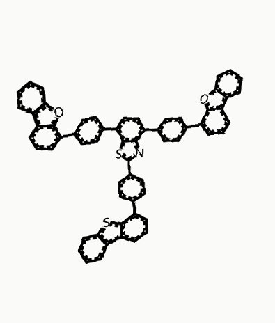 c1ccc2c(c1)oc1c(-c3ccc(-c4ccc(-c5ccc(-c6cccc7c6oc6ccccc67)cc5)c5sc(-c6ccc(-c7cccc8c7sc7ccccc78)cc6)nc45)cc3)cccc12